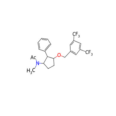 CC(=O)N(C)C1CCC(OCc2cc(C(F)(F)F)cc(C(F)(F)F)c2)C1c1ccccc1